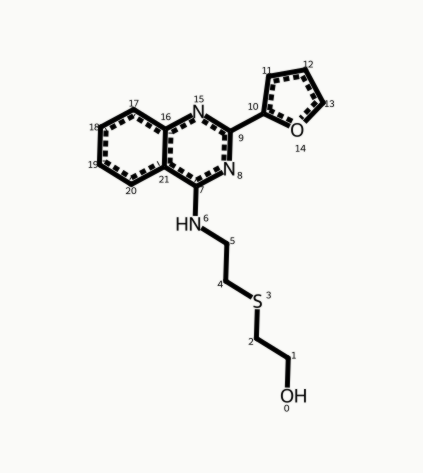 OCCSCCNc1nc(-c2ccco2)nc2ccccc12